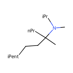 CCCC(C)CCC(C)(CCC)N(C)C(C)C